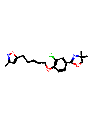 Cc1cc(CCCCCOc2ccc(C3=NC(C)(C)CO3)cc2Cl)on1